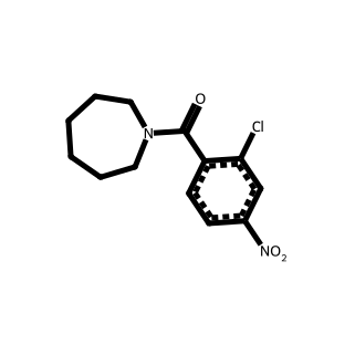 O=C(c1ccc([N+](=O)[O-])cc1Cl)N1CCCCCC1